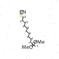 CO[Si](C)(CCCCCCCCCCSC#N)OC